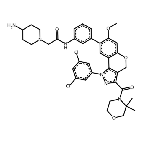 COc1cc2c(cc1-c1cccc(NC(=O)CN3CCC(N)CC3)c1)-c1c(c(C(=O)N3CCOCC3(C)C)nn1-c1cc(Cl)cc(Cl)c1)CO2